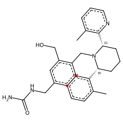 Cc1cccnc1[C@H]1CCC[C@@H](c2ncccc2C)N1Cc1ccc(CNC(N)=O)cc1CO